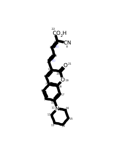 N#C/C(=C\C=C\c1cc2ccc(N3CCCCC3)cc2oc1=O)C(=O)O